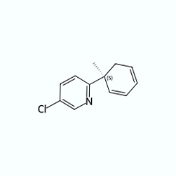 C[C@@]1(c2ccc(Cl)cn2)C=CC=CC1